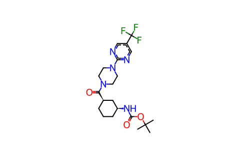 CC(C)(C)OC(=O)N[C@H]1CCC[C@@H](C(=O)N2CCN(c3ncc(C(F)(F)F)cn3)CC2)C1